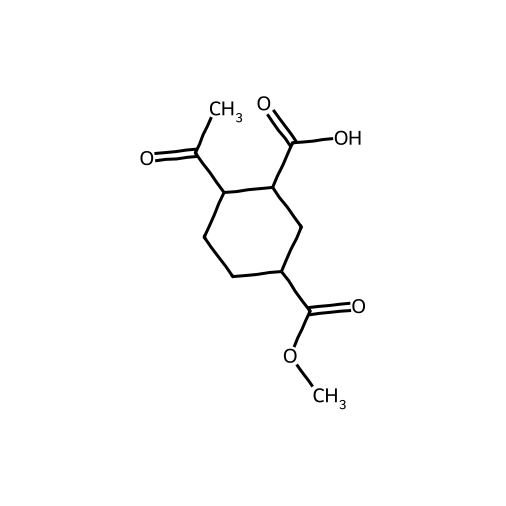 COC(=O)C1CCC(C(C)=O)C(C(=O)O)C1